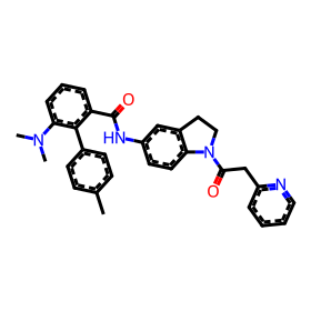 Cc1ccc(-c2c(C(=O)Nc3ccc4c(c3)CCN4C(=O)Cc3ccccn3)cccc2N(C)C)cc1